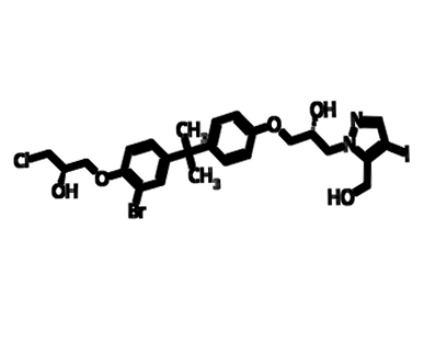 CC(C)(c1ccc(OC[C@H](O)Cn2ncc(I)c2CO)cc1)c1ccc(OC[C@@H](O)CCl)c(Br)c1